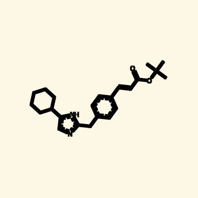 CC(C)(C)OC(=O)/C=C/c1ccc(Cc2ncc(C3CCCCC3)[nH]2)cc1